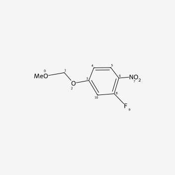 COCOc1ccc([N+](=O)[O-])c(F)c1